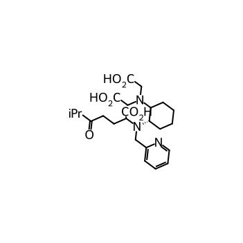 CC(C)C(=O)CCC(C(=O)O)N(Cc1ccccn1)[C@H]1CCCCC1N(CC(=O)O)CC(=O)O